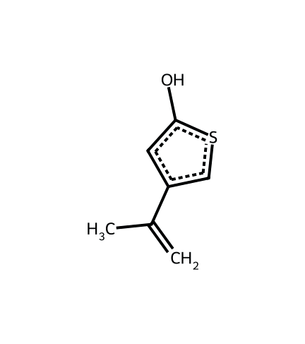 C=C(C)c1csc(O)c1